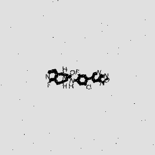 O=C(Nc1cc(Cl)c(-c2cnc3nonc3c2)cc1F)N1[C@H]2CC[C@@H]1c1ccnc(F)c1C2